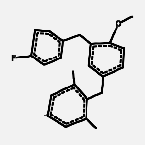 COc1ccc(Cc2c(C)c[c]cc2C)cc1Cc1ccc(F)cc1